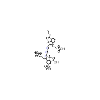 CCCOC(=O)c1cccc2c1C(C)(C)C(/C=C/C=C/C=C1/N(CCCS(=O)(=O)O)c3cc(S(=O)(=O)O)cc(C(=O)O)c3C1(C)C)=[N+]2CCCS(=O)(=O)O